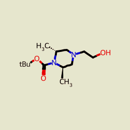 C[C@@H]1CN(CCO)C[C@@H](C)N1C(=O)OC(C)(C)C